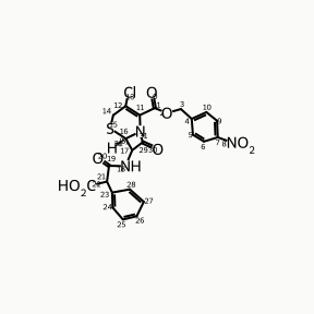 O=C(OCc1ccc([N+](=O)[O-])cc1)C1=C(Cl)CS[C@H]2C(NC(=O)C(C(=O)O)c3ccccc3)C(=O)N12